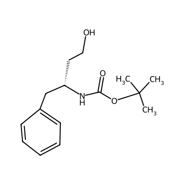 CC(C)(C)OC(=O)N[C@@H](CCO)Cc1ccccc1